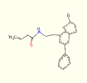 C=CCC(=O)NCCc1cc(-c2ccccc2)cc2ccc(CC)cc12